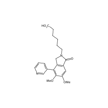 COc1cc2c(c(-c3cccnc3)c1OC)CN(CCCCCC(=O)O)C2=O